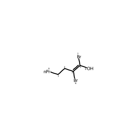 CCCCC/C(Br)=C(/O)Br